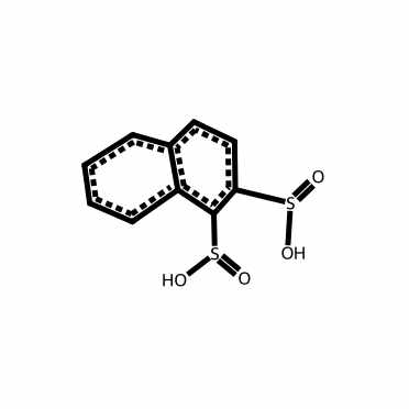 O=S(O)c1ccc2ccccc2c1S(=O)O